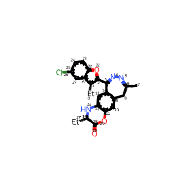 CCc1c(C2=NN=C(C)Cc3cc4c(cc32)NC(CC)C(=O)O4)oc2ccc(Cl)cc12